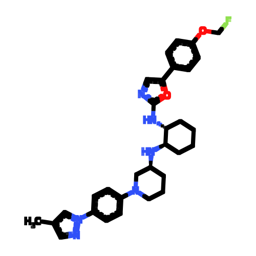 Cc1cnn(-c2ccc(N3CCC[C@H](N[C@@H]4CCCC[C@H]4Nc4ncc(-c5ccc(OCF)cc5)o4)C3)cc2)c1